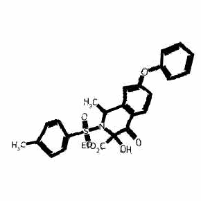 CCOC(=O)C1(O)C(=O)c2ccc(Oc3ccccc3)cc2C(C)N1S(=O)(=O)c1ccc(C)cc1